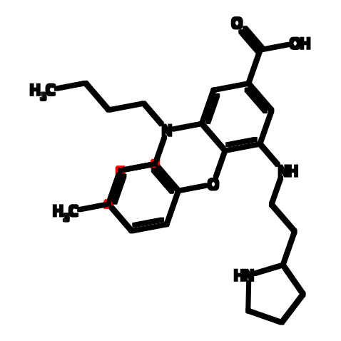 CCCCN(CCCC)c1cc(C(=O)O)cc(NCCC2CCCN2)c1Oc1ccccc1